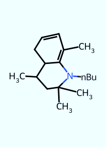 CCCCN1C2=C(C)C=CCC2C(C)CC1(C)C